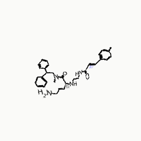 Cc1ccc(/C=C/C(=O)NCCN[C@@H](CCCN)C(=O)N(C)CC(c2ccccc2)c2ccccc2)cc1